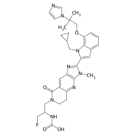 Cn1c(-c2cc3cccc(OCC(C)(C)n4ccnc4)c3n2CC2CC2)nc2cc3c(nc21)CCN(CC(CF)NC(=O)O)C3=O